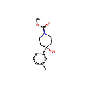 Cc1cccc(C2(O)CCN(C(=O)OC(C)(C)C)CC2)c1